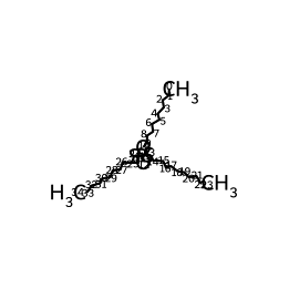 CCCCCCCCCCOP(=O)(SCCCCCCCCCC)SCCCCCCCCCC